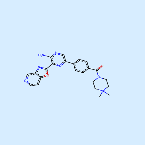 C[N+]1(C)CCN(C(=O)c2ccc(-c3cnc(N)c(-c4nc5cnccc5o4)n3)cc2)CC1